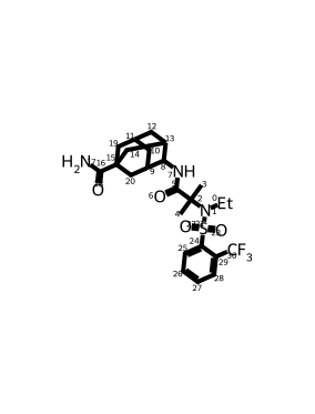 CCN(C(C)(C)C(=O)NC1C2CC3CC1CC(C(N)=O)(C3)C2)S(=O)(=O)c1ccccc1C(F)(F)F